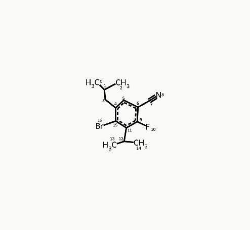 CC(C)Cc1cc(C#N)c(F)c(C(C)C)c1Br